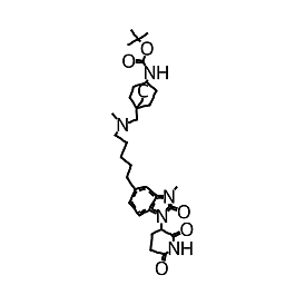 CN(CCCCCc1ccc2c(c1)n(C)c(=O)n2C1CCC(=O)NC1=O)CC12CCC(NC(=O)OC(C)(C)C)(CC1)CC2